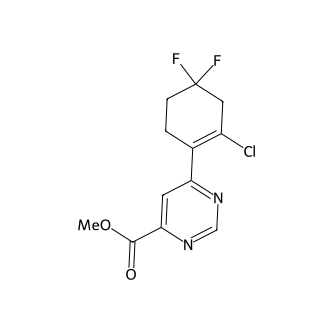 COC(=O)c1cc(C2=C(Cl)CC(F)(F)CC2)ncn1